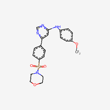 O=S(=O)(c1ccc(-c2cc(Nc3ccc(OC(F)(F)F)cc3)ncn2)cc1)N1CCOCC1